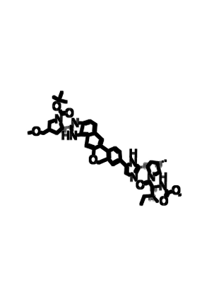 CC[C@H](C)[C@H](NC(=O)OC)C(=O)N1C[C@@H](C)C[C@H]1c1ncc(-c2ccc3c(c2)COc2cc4c(ccc5nc([C@@H]6CC(COC)CN6C(=O)OC(C)(C)C)[nH]c54)cc2-3)[nH]1